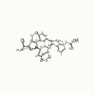 Cc1c(CC(=O)O)cccc1C(=O)Nc1ccc2c(c1)-c1c(c(C(N)=O)nn1-c1ccc3c(c1)OCO3)CO2